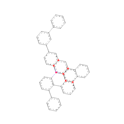 c1ccc(-c2cccc(-c3ccc(N(c4ccc5ccccc5c4)c4cccc(-c5ccccc5)c4-c4ccccc4-c4ccccc4)cc3)c2)cc1